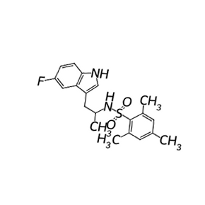 Cc1cc(C)c(S(=O)(=O)NC(C)Cc2c[nH]c3ccc(F)cc23)c(C)c1